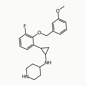 COc1cccc(COc2c(F)cccc2C2CC2NC2CCNCC2)c1